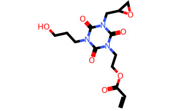 C=CC(=O)OCCn1c(=O)n(CCCO)c(=O)n(CC2CO2)c1=O